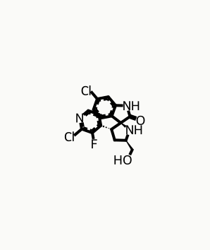 O=C1Nc2cc(Cl)ccc2[C@]12N[C@@H](CO)C[C@@H]2c1ccnc(Cl)c1F